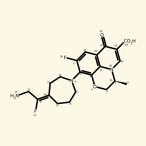 C[C@H]1COc2c(N3CCCC(=C(F)CN)CC3)c(F)cc3c(=O)c(C(=O)O)cn1c23